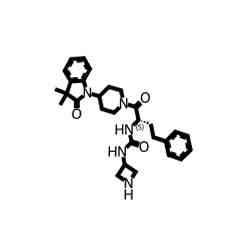 CC1(C)C(=O)N(C2CCN(C(=O)[C@H](CCc3ccccc3)NC(=O)NC3CNC3)CC2)c2ccccc21